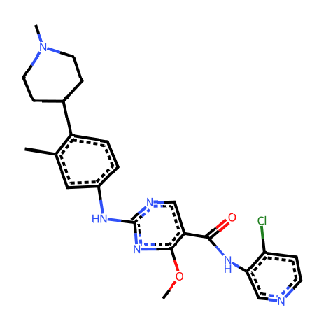 COc1nc(Nc2ccc(C3CCN(C)CC3)c(C)c2)ncc1C(=O)Nc1cnccc1Cl